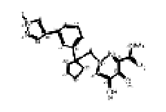 CNC(=O)c1nn(CC2(c3cccc(-c4cnn(C)c4)c3)CCCC2)cc(O)c1=O